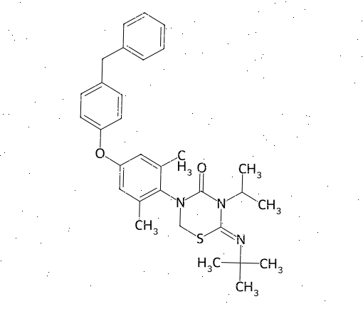 Cc1cc(Oc2ccc(Cc3ccccc3)cc2)cc(C)c1N1CSC(=NC(C)(C)C)N(C(C)C)C1=O